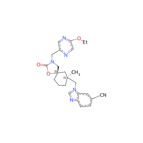 CCOc1cnc(CN2C[C@@]3(CCC[C@](C)(Cn4cnc5ccc(C#N)cc54)C3)OC2=O)cn1